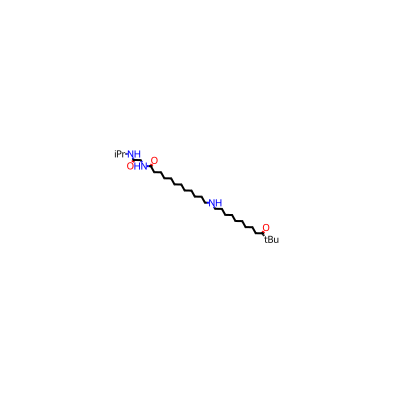 CC(C)NC(=O)CNC(=O)CCCCCCCCCCCNCCCCCCCCCC(=O)C(C)(C)C